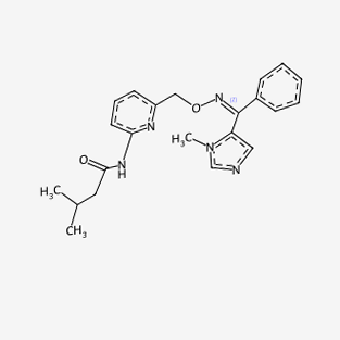 CC(C)CC(=O)Nc1cccc(CO/N=C(/c2ccccc2)c2cncn2C)n1